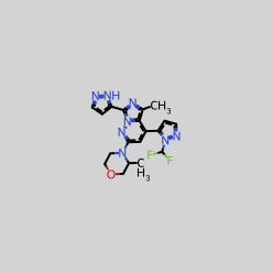 Cc1nc(-c2ccn[nH]2)n2nc(N3CCOCC3C)cc(-c3ccnn3C(F)F)c12